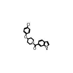 Cn1ccc2ccc(C(=O)N3CCC(Oc4ccc(Cl)cc4)CC3)cc21